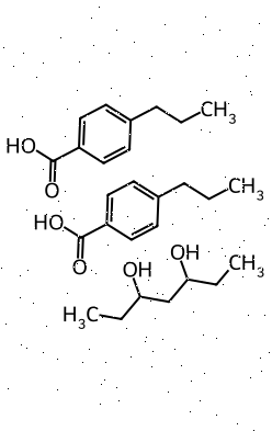 CCC(O)CC(O)CC.CCCc1ccc(C(=O)O)cc1.CCCc1ccc(C(=O)O)cc1